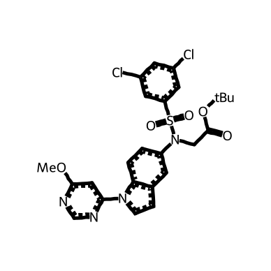 COc1cc(-n2ccc3cc(N(CC(=O)OC(C)(C)C)S(=O)(=O)c4cc(Cl)cc(Cl)c4)ccc32)ncn1